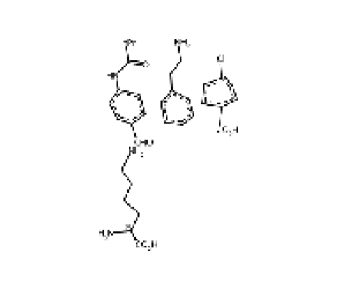 CCCC(=O)Nc1ccc(C=O)cc1.NCCCC[C@H](N)C(=O)O.NCCc1ccccc1.O=C(O)c1ccc(Cl)cc1